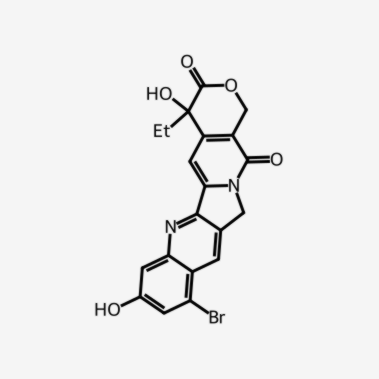 CCC1(O)C(=O)OCc2c1cc1n(c2=O)Cc2cc3c(Br)cc(O)cc3nc2-1